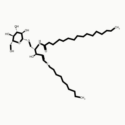 CCCCCCCCCCC/C=C/[C@@H](O)[C@H](CO[C@@H]1O[C@H](CO)[C@@H](O)[C@H](O)[C@H]1O)NC(=O)CCCCCCCCCCCCCCC